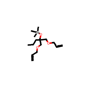 C=CCOCC(CCC)(COCC=C)O[Si](C)(C)C